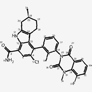 Cc1c(-c2c(Cl)cc(C(N)=O)c3[nH]c4c(c23)CC[C@H](C)C4)cccc1-n1c(=O)c2cccc(F)c2n(C)c1=O